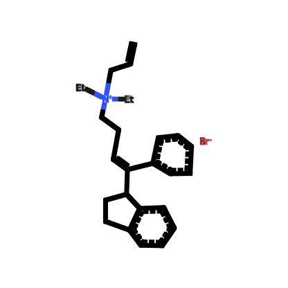 C=CC[N+](CC)(CC)CCC=C(c1ccccc1)C1CCc2ccccc21.[Br-]